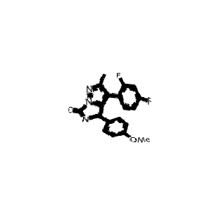 COc1ccc(C2=NC(=O)n3nc(C)c(-c4ccc(F)cc4F)c32)cc1